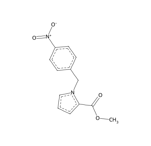 COC(=O)c1cccn1Cc1ccc([N+](=O)[O-])cc1